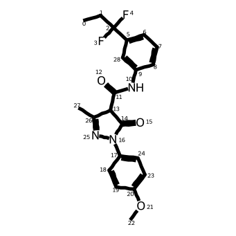 CCC(F)(F)c1cccc(NC(=O)C2C(=O)N(c3ccc(OC)cc3)N=C2C)c1